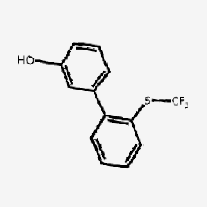 Oc1cccc(-c2ccc[c]c2SC(F)(F)F)c1